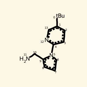 CC(C)(C)c1ccc(-n2cccc2CN)nc1